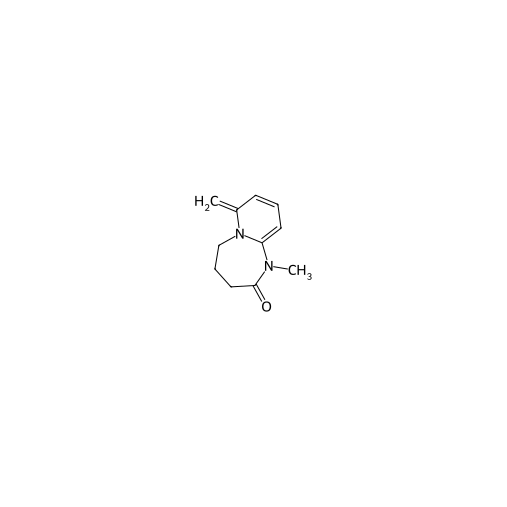 C=C1C=CC=C2N(C)C(=O)CCCN12